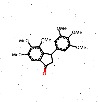 COc1cc(C2CC(=O)c3cc(OC)c(OC)c(OC)c32)cc(OC)c1OC